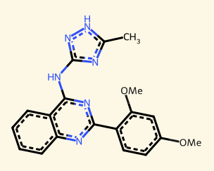 COc1ccc(-c2nc(Nc3n[nH]c(C)n3)c3ccccc3n2)c(OC)c1